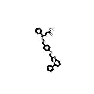 O=C(O)CC/C(=N\OCc1ccc(OCc2cn3c(-c4ccccc4)cccc3n2)cc1)c1ccccc1